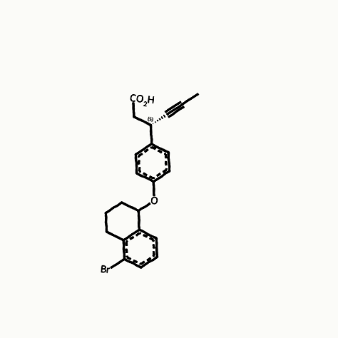 CC#C[C@@H](CC(=O)O)c1ccc(OC2CCCc3c(Br)cccc32)cc1